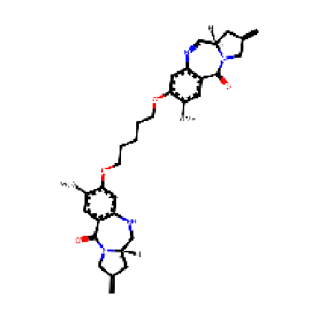 C=C1C[C@H]2CNc3cc(OCCCCCOc4cc5c(cc4OC)C(=O)N4CC(=C)C[C@H]4C=N5)c(OC)cc3C(=O)N2C1